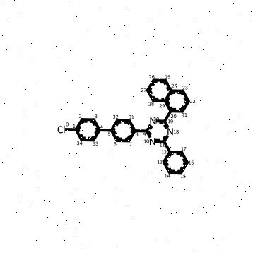 Clc1ccc(-c2ccc(-c3nc(-c4ccccc4)nc(-c4cccc5ccccc45)n3)cc2)cc1